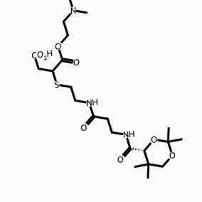 CN(C)CCOC(=O)C(CC(=O)O)SCCNC(=O)CCNC(=O)[C@@H]1OC(C)(C)OCC1(C)C